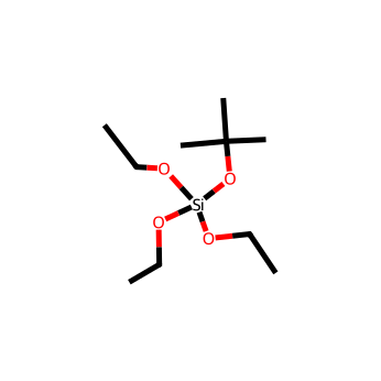 CCO[Si](OCC)(OCC)OC(C)(C)C